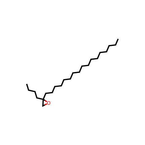 CCCCCCCCCCCCCCCCCC1(CCCC)CO1